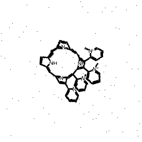 C[n+]1ccccc1C1=Cc2cc3ccc(cc4nc(cc5[nH]c(c(-c6cccc[n+]6C)c1n2)c(-c1cccc[n+]1C)c5-c1cccc[n+]1C)C=C4)[nH]3